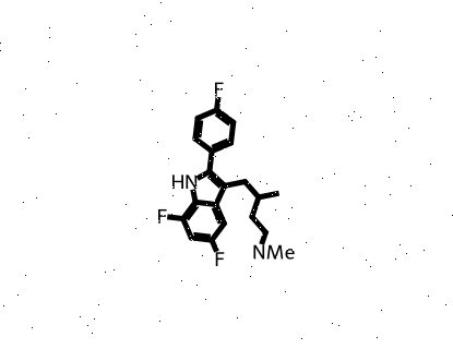 CNCCC(C)Cc1c(-c2ccc(F)cc2)[nH]c2c(F)cc(F)cc12